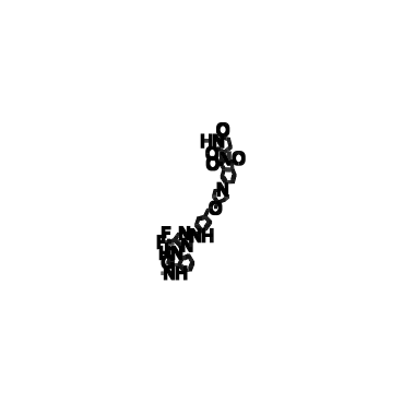 CNC(=O)c1ccccc1Nc1nc(Nc2ccc(COC3CCN(c4ccc5c(c4)C(=O)N(C4CCC(=O)NC4=O)C5=O)CC3)cc2)ncc1C(F)(F)F